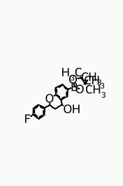 CC1(C)OB(c2ccc3c(c2)C(O)CC(c2ccc(F)cc2)O3)OC1(C)C